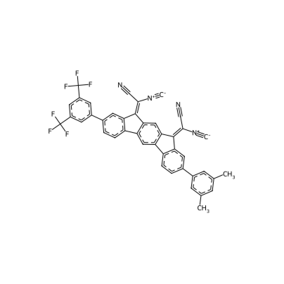 [C-]#[N+]/C(C#N)=C1/c2cc(-c3cc(C(F)(F)F)cc(C(F)(F)F)c3)ccc2-c2cc3c(cc21)/C(=C(\C#N)[N+]#[C-])c1cc(-c2cc(C)cc(C)c2)ccc1-3